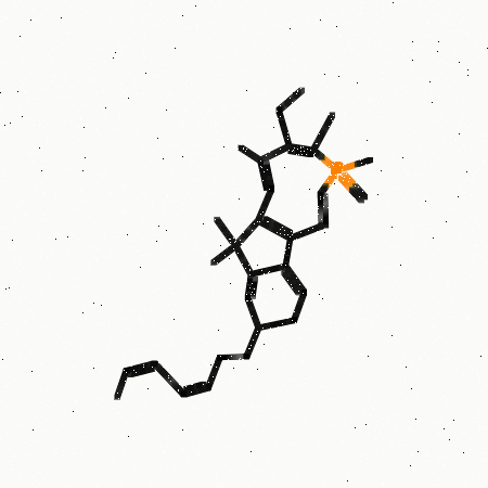 C=P1(C)/C=C/C2=C(/C=C(C)/C(CC)=C\1C)C(C)(C)C1=CC(CC/C=C\C=C/C)CC=C12